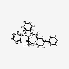 CC1=C2C=C(c3ccccc3)C=CN2C2NC2C2N1c1ccccc1N2c1ccccc1